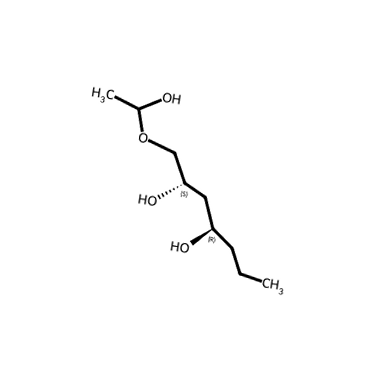 CCC[C@@H](O)C[C@H](O)COC(C)O